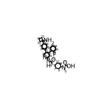 CN(C(=O)O)[C@H]1CC[C@H](CC(=O)Nc2cc(-c3ccccc3F)c(-c3ccc(C4(N)CCC4)cc3)cn2)CC1